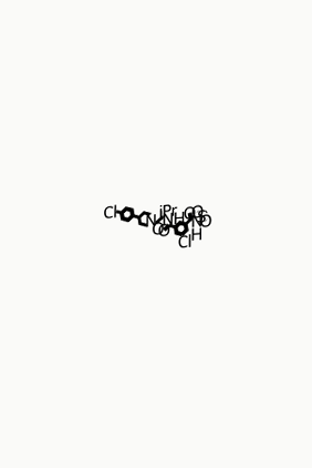 CC(C)[C@@H](NC(=O)c1cc(Cl)cc(C(=O)NS(C)(=O)=O)c1)C(=O)N1CCC(c2ccc(Cl)cc2)CC1